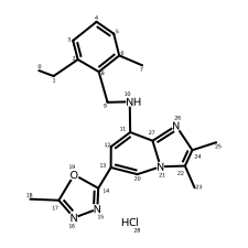 CCc1cccc(C)c1CNc1cc(-c2nnc(C)o2)cn2c(C)c(C)nc12.Cl